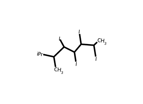 CC(C)C(C)C(I)C(I)C(I)C(C)I